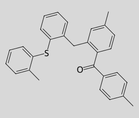 Cc1ccc(C(=O)c2ccc(C)cc2Cc2ccccc2Sc2ccccc2C)cc1